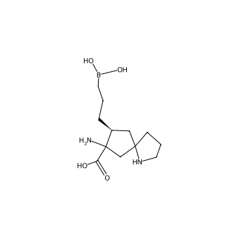 NC1(C(=O)O)CC2(CCCN2)C[C@@H]1CCCB(O)O